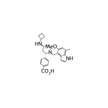 COc1cc(C)c2[nH]ccc2c1CN1CC[C@H](NC2CCC2)C[C@H]1c1ccc(C(=O)O)cc1